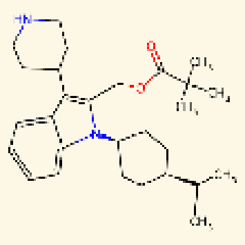 CC(C)[C@H]1CC[C@@H](n2c(COC(=O)C(C)(C)C)c(C3CCNCC3)c3ccccc32)CC1